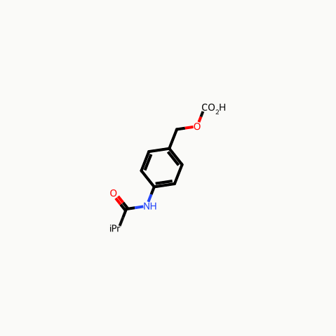 CC(C)C(=O)Nc1ccc(COC(=O)O)cc1